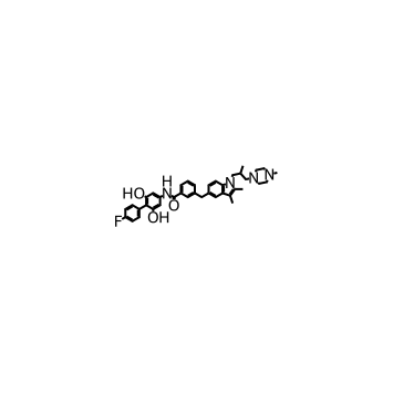 Cc1c(C)n(CC(C)CN2CCN(C)CC2)c2ccc(Cc3cccc(C(=O)Nc4cc(O)c(-c5ccc(F)cc5)c(O)c4)c3)cc12